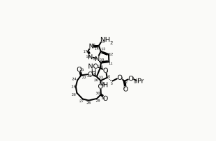 CC(C)OC(=O)OC[C@H]1O[C@@](C#N)(c2ccc3c(N)ncnn23)[C@@H]2OC(=O)CCCCCCC(=O)O[C@@H]21